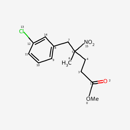 COC(=O)CCC(C)(Cc1cccc(Cl)c1)[N+](=O)[O-]